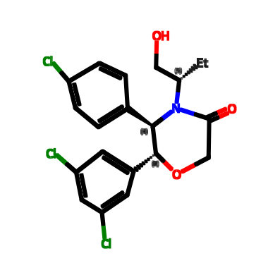 CC[C@@H](CO)N1C(=O)CO[C@H](c2cc(Cl)cc(Cl)c2)[C@H]1c1ccc(Cl)cc1